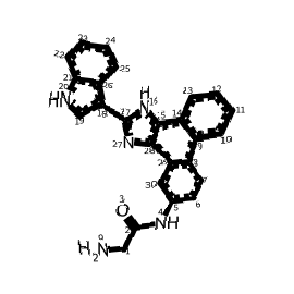 NCC(=O)Nc1ccc2c3ccccc3c3[nH]c(-c4c[nH]c5ccccc45)nc3c2c1